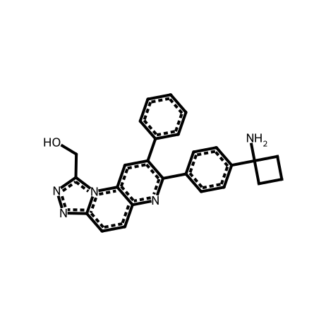 NC1(c2ccc(-c3nc4ccc5nnc(CO)n5c4cc3-c3ccccc3)cc2)CCC1